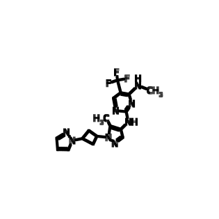 CNc1nc(Nc2cnn(C3CC(n4cccn4)C3)c2C)ncc1C(F)(F)F